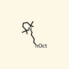 CCCCCCCCCCCCN1C(C)(C)CCCC1(C)C